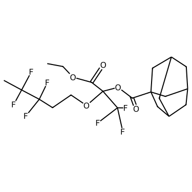 CCOC(=O)C(OCCC(F)(F)C(C)(F)F)(OC(=O)C12CC3CC(CC(C3)C1)C2)C(F)(F)F